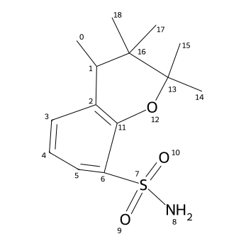 CC1c2cccc(S(N)(=O)=O)c2OC(C)(C)C1(C)C